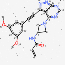 C=CC(=O)NC1CN(c2ncnc3[nH]nc(C#Cc4cc(OC)cc(OC)c4)c23)C1